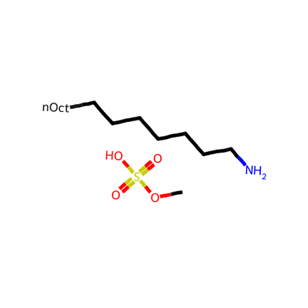 CCCCCCCCCCCCCCCN.COS(=O)(=O)O